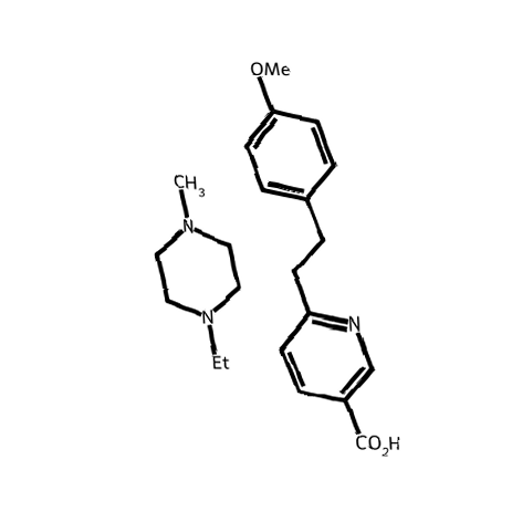 CCN1CCN(C)CC1.COc1ccc(CCc2ccc(C(=O)O)cn2)cc1